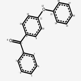 O=C(c1[c]cccc1)c1c[c]c(Oc2ccccc2)cc1